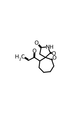 C=CC(=O)C1CCCCC(=O)C12CC(=O)NC2=O